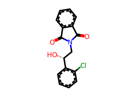 O=C1c2ccccc2C(=O)N1C[C@@H](O)c1ccccc1Cl